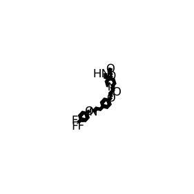 O=C1NCC2(CCN(C(=O)COc3ccc(CC=NOc4ccc(C(F)(F)F)cc4)cc3)CC2)O1